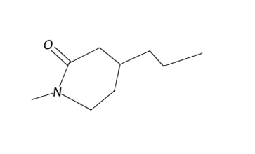 CCCC1CCN(C)C(=O)C1